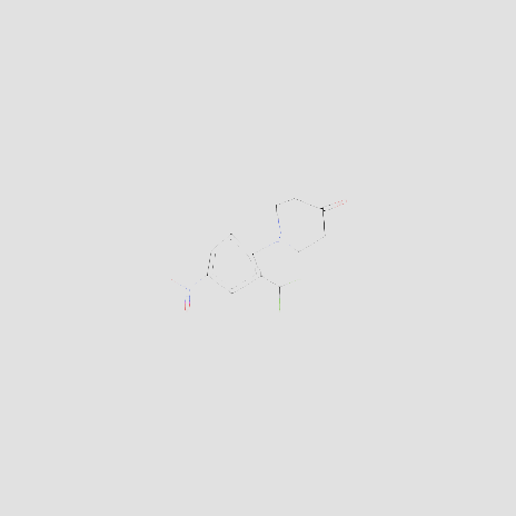 O=C1CCN(c2ccc([N+](=O)[O-])cc2C(F)F)CC1